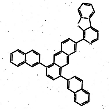 c1ccc2cc(-c3ccc(-c4ccc5ccccc5c4)c4cc5cc(-c6nccc7c6sc6ccccc67)ccc5cc34)ccc2c1